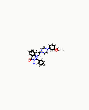 COc1cccc(N2CCN(C(C)CN3c4ccccc4C(=O)NC3c3ccccc3)CC2)c1